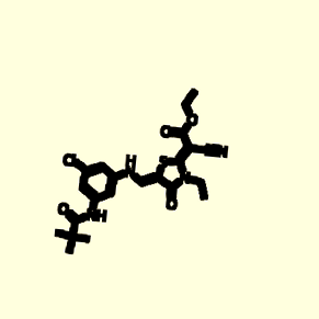 CCOC(=O)C(C#N)=c1sc(=CNc2cc(Cl)cc(NC(=O)C(C)(C)C)c2)c(=O)n1CC